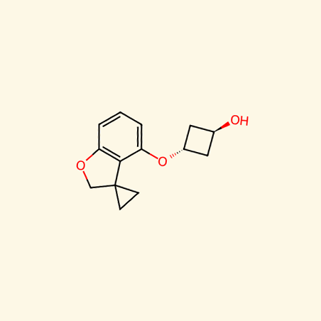 O[C@H]1C[C@H](Oc2cccc3c2C2(CC2)CO3)C1